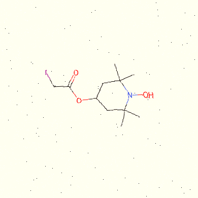 CC1(C)CC(OC(=O)CI)CC(C)(C)N1O